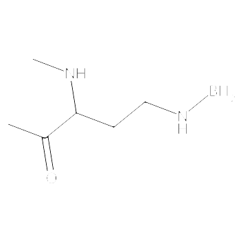 BNCCC(NC)C(C)=O